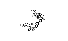 COC(=O)N[C@H](C(=O)N1CCCC1c1[nH]c2cc(-c3ccc4cc(-c5cnc([C@@H]6CCCN6C(=O)[C@@H](NC(=O)OC)C(C)C)[nH]5)ccc4c3)ccc2c(=O)c1F)C(C)C